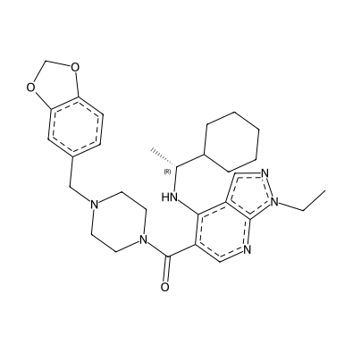 CCn1ncc2c(N[C@H](C)C3CCCCC3)c(C(=O)N3CCN(Cc4ccc5c(c4)OCO5)CC3)cnc21